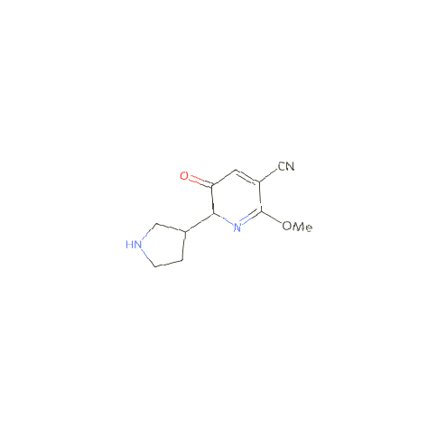 COC1=NC(C2CCNC2)C(=O)C=C1C#N